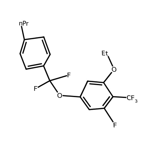 CCCc1ccc(C(F)(F)Oc2cc(F)c(C(F)(F)F)c(OCC)c2)cc1